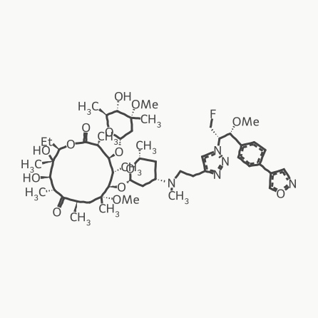 CC[C@H]1OC(=O)[C@H](C)[C@@H](O[C@H]2C[C@@](C)(OC)[C@@H](O)[C@H](C)O2)[C@H](C)[C@@H](O[C@H]2C[C@@H](N(C)CCc3cn([C@H](CF)[C@H](OC)c4ccc(-c5cnoc5)cc4)nn3)C[C@@H](C)O2)[C@](C)(OC)C[C@@H](C)C(=O)[C@H](C)[C@@H](O)[C@]1(C)O